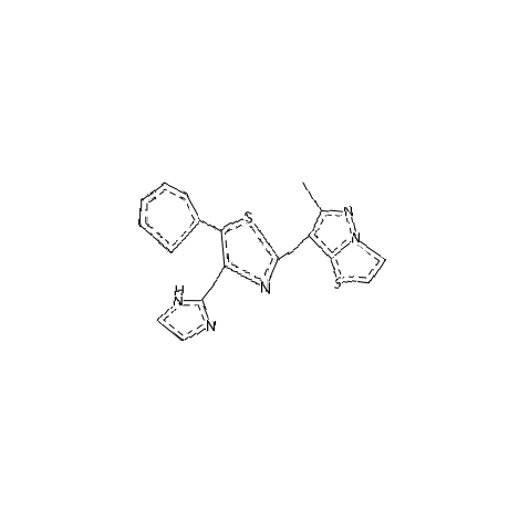 Cc1nn2ccsc2c1-c1nc(-c2ncc[nH]2)c(-c2ccccc2)s1